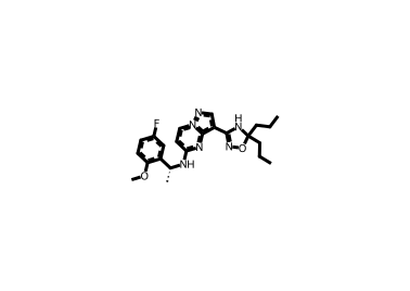 CCCC1(CCC)NC(c2cnn3ccc(N[C@H](C)c4cc(F)ccc4OC)nc23)=NO1